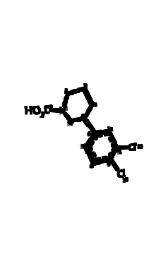 O=C(O)N1CCCC(c2ccc(Cl)c(Cl)c2)C1